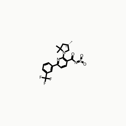 C[C@@H]1CN(c2nc(-c3cccc(C(F)(F)F)c3)ccc2C(=O)N=S(=O)=O)C(C)(C)C1